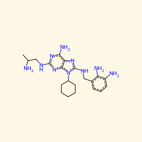 CC(N)CNc1nc(N)c2nc(NCc3cccc(N)c3N)n(C3CCCCC3)c2n1